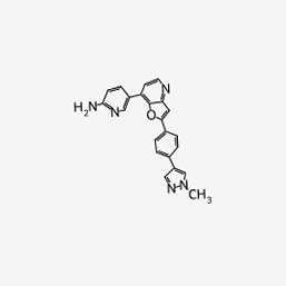 Cn1cc(-c2ccc(-c3cc4nccc(-c5ccc(N)nc5)c4o3)cc2)cn1